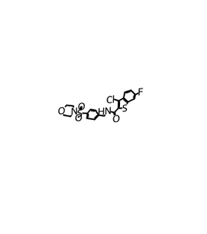 O=C(NCc1ccc(S(=O)(=O)N2CCOCC2)cc1)c1sc2cc(F)ccc2c1Cl